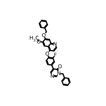 COc1cc2c(Oc3ccc(-c4cncn(Cc5ccccc5)c4=O)cc3F)ccnc2cc1OCc1ccccc1